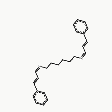 C(/C=C/c1ccccc1)=N/CCCCCC/N=C\C=C\c1ccccc1